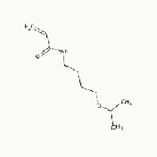 C=CC(=O)NCCCCOC(C)C